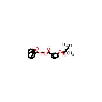 CCC(C)(C)C(=O)OC1CC2CC(C(=O)OCOCC34CC5CC(CC(C5)C3=O)C4)C1C2